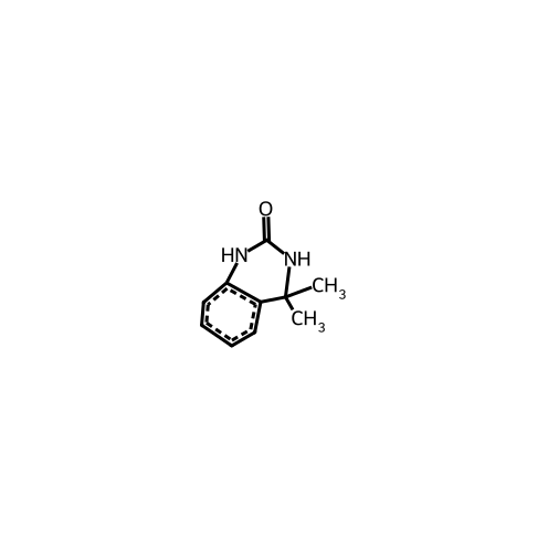 CC1(C)NC(=O)Nc2ccccc21